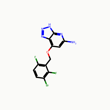 Nc1cc(OCc2c(F)ccc(Br)c2F)c2nn[nH]c2n1